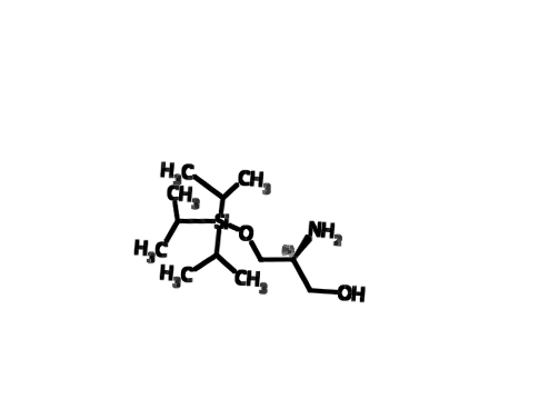 CC(C)[Si](OC[C@@H](N)CO)(C(C)C)C(C)C